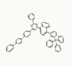 c1ccc(-c2ccc(-c3ccc(-c4cc(-c5ccc(-c6ccc7c(c6)C(c6ccccc6)(c6ccccc6)c6ccccc6-7)c6ccccc56)nc(-c5ccccc5)n4)cc3)cc2)cc1